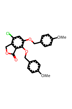 COc1ccc(COc2cc(Cl)c3c(c2OCc2ccc(OC)cc2)C(=O)OC3)cc1